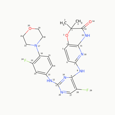 CC1(C)Oc2ccc(Nc3nc(Nc4ccc(N5CCOCC5)c(F)c4)ncc3F)nc2NC1=O